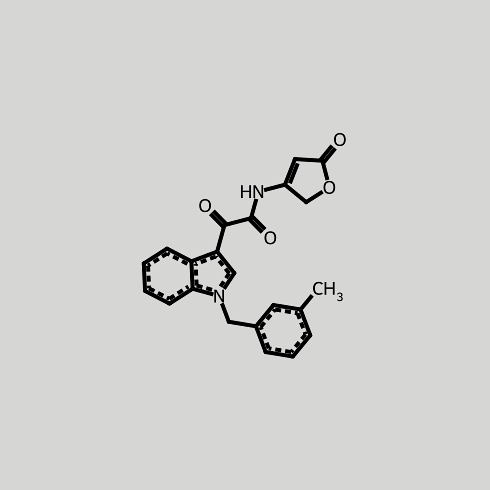 Cc1cccc(Cn2cc(C(=O)C(=O)NC3=CC(=O)OC3)c3ccccc32)c1